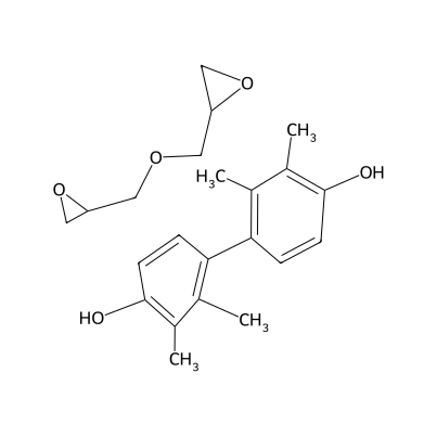 C(OCC1CO1)C1CO1.Cc1c(O)ccc(-c2ccc(O)c(C)c2C)c1C